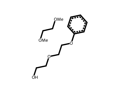 COCCOC.OCCOCCOc1ccccc1